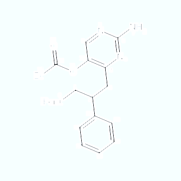 CCCC(C)CC(Cc1nc(N)ncc1OC(=O)CC)c1ccccc1